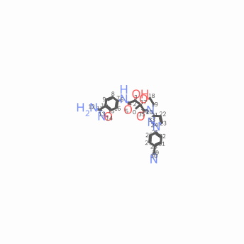 CC1(C(O)C(=O)Nc2ccc3c(N)noc3c2)OCCN(c2ccn(-c3ccc(C#N)cc3)n2)C1=O